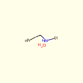 CCCCNCC.O